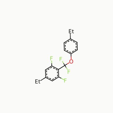 CCc1ccc(OC(F)(F)c2c(F)cc(CC)cc2F)cc1